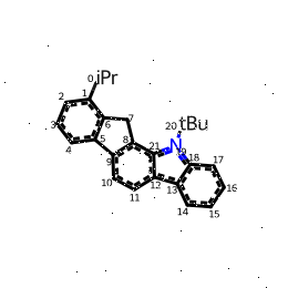 CC(C)c1cccc2c1Cc1c-2ccc2c3ccccc3n(C(C)(C)C)c12